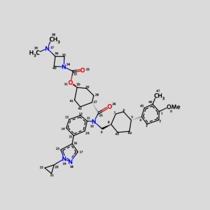 COc1ccc([C@H]2CC[C@H](CN(c3cccc(-c4cnn(C5CC5)c4)c3)C(=O)[C@H]3CC[C@H](OC(=O)N4CC(N(C)C)C4)CC3)CC2)cc1C